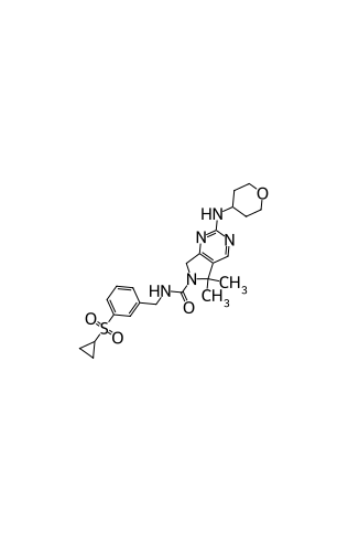 CC1(C)c2cnc(NC3CCOCC3)nc2CN1C(=O)NCc1cccc(S(=O)(=O)C2CC2)c1